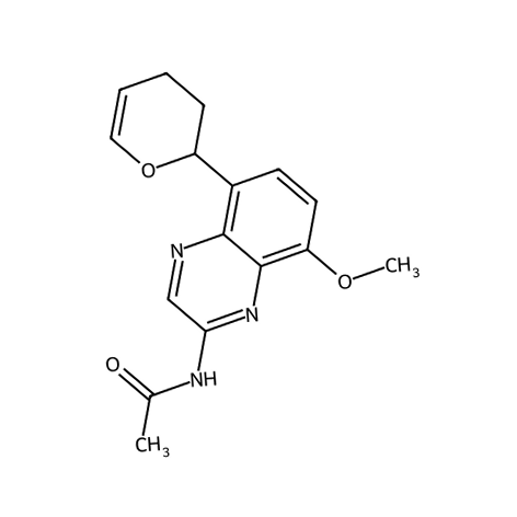 COc1ccc(C2CCC=CO2)c2ncc(NC(C)=O)nc12